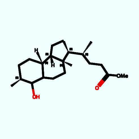 COC(=O)CC[C@@H](C)[C@H]1CC[C@H]2[C@@H]3CC[C@@H](C)C(O)C3CC[C@]12C